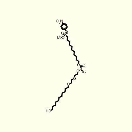 CCOP(=O)(CCCCCCCCCCCOC(=O)N(CC)OCCOCCOCCCCCCCCCCCS)Oc1ccc([N+](=O)[O-])cc1